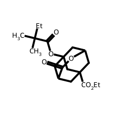 CCOC(=O)C12CC3CC(OC(=O)C(C)(C)CC)(CC(C1)C(=O)O3)C2